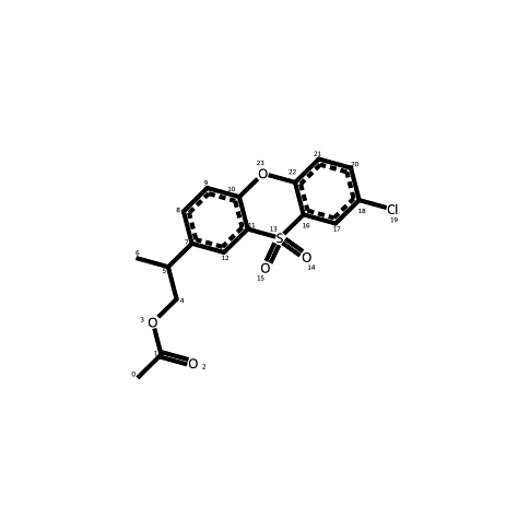 CC(=O)OCC(C)c1ccc2c(c1)S(=O)(=O)c1cc(Cl)ccc1O2